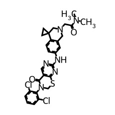 CN(C)C(=O)CN1Cc2cc(Nc3ncc4c(n3)SCN(c3c(Cl)cccc3Cl)C4=O)ccc2C2(CC2)C1